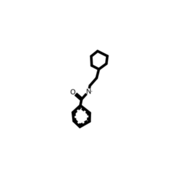 O=C([N]CCC1CCCCC1)c1ccccc1